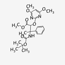 COC(=O)C(Oc1nc(OC)cc(OC)n1)C(C)(NC(=O)OC(C)(C)C)c1ccccc1